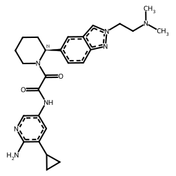 CN(C)CCn1cc2cc([C@@H]3CCCCN3C(=O)C(=O)Nc3cnc(N)c(C4CC4)c3)ccc2n1